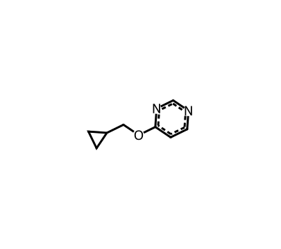 c1cc(OCC2CC2)ncn1